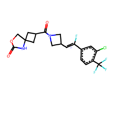 O=C1NC2(CO1)CC(C(=O)N1CC(/C=C(\F)c3ccc(C(F)(F)F)c(Cl)c3)C1)C2